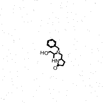 CC(CO)N(Cc1ccccc1)CC1CCC(=O)N1